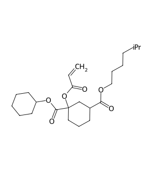 C=CC(=O)OC1(C(=O)OC2CCCCC2)CCCC(C(=O)OCCCCC(C)C)C1